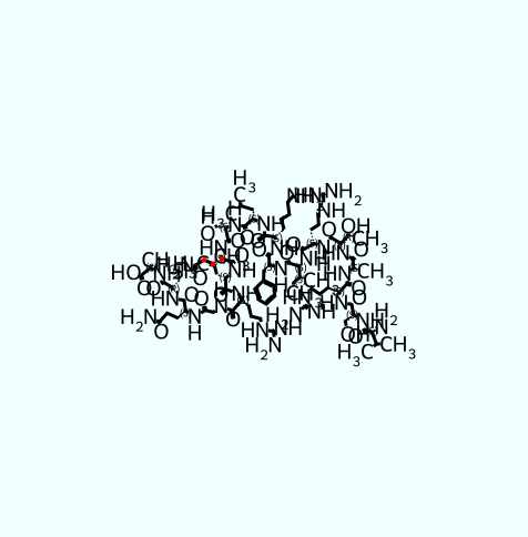 CC[C@H](C)[C@H](NC(=O)[C@H](CCCNC(=N)N)NC(=O)[C@@H](NC(=O)[C@H](C)NC(=O)[C@H](CCCNC(=N)N)NC(=O)[C@H](CO)NC(=O)[C@@H](N)C(C)C)[C@@H](C)O)C(=O)N[C@@H](Cc1ccccc1)C(=O)N[C@@H](CCCCN)C(=O)N[C@@H](CC(C)C)C(=O)N[C@@H](CO)C(=O)N[C@@H](CCC(N)=O)C(=O)N[C@@H](CC(C)C)C(=O)N[C@@H](CCCNC(=N)N)C(=O)NCC(=O)N[C@@H](CCC(N)=O)C(=O)N[C@@H](CS)C(=O)N[C@@H](C)C(=O)O